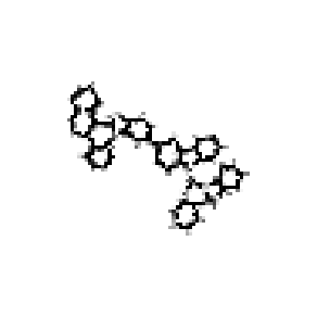 c1ccc2c(c1)ccc1c3ccccc3n3c4cc(-c5ccc6c(c5)c5ccccc5n6-c5nc6ccccc6c6nc7ccccc7n56)ccc4nc3c21